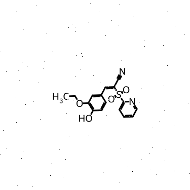 CCOc1cc(C=C(C#N)S(=O)(=O)c2ccccn2)ccc1O